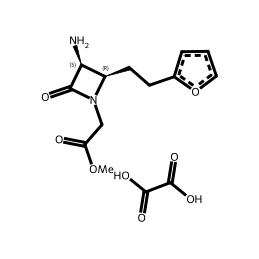 COC(=O)CN1C(=O)[C@@H](N)[C@H]1CCc1ccco1.O=C(O)C(=O)O